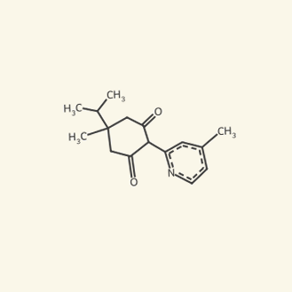 Cc1ccnc(C2C(=O)CC(C)(C(C)C)CC2=O)c1